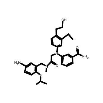 CCc1cc(N(CC(=O)N(C)Cc2cc(N)ccc2SC(C)C)c2cccc(C(N)=O)c2)ccc1CCO